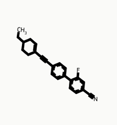 CCC1CC=C(C#Cc2ccc(-c3ccc(C#N)cc3F)cc2)CC1